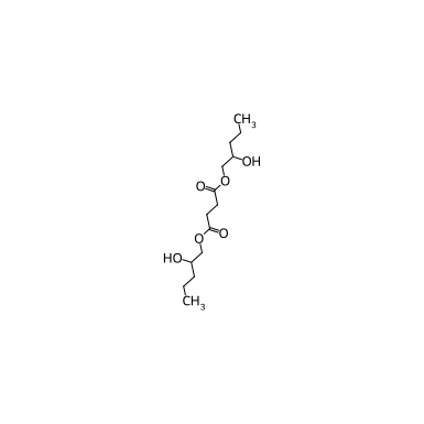 CCCC(O)COC(=O)CCC(=O)OCC(O)CCC